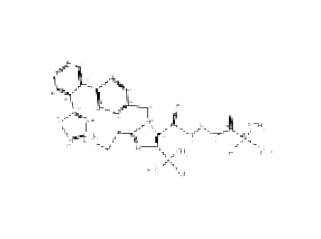 CCCc1nc(C(C)(C)O)c(C(=O)OCOC(=O)C(C)(C)C)n1Cc1ccc(-c2ccccc2-c2nnn[nH]2)cc1